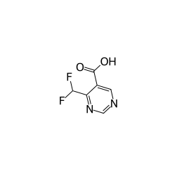 O=C(O)c1cncnc1C(F)F